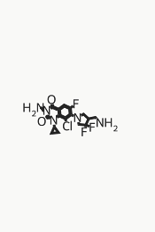 NCC1CN(c2c(F)cc3c(=O)n(N)c(=O)n(C4CC4)c3c2Cl)CC1(F)F